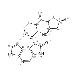 C[C@@H]1CCN(C(=O)N2C[C@@H](F)C[C@H]2C#N)C[C@@H]1n1c(=O)[nH]c2cnc3[nH]ccc3c21